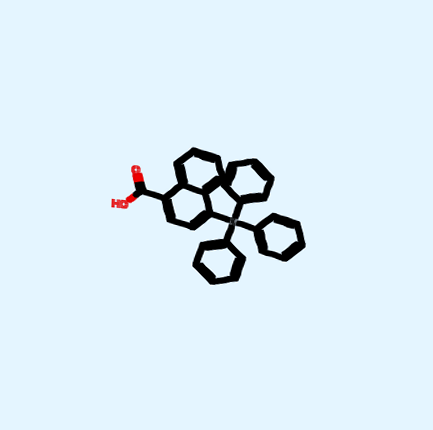 O=C(O)c1ccc([Si](c2ccccc2)(c2ccccc2)c2ccccc2)c2ccccc12